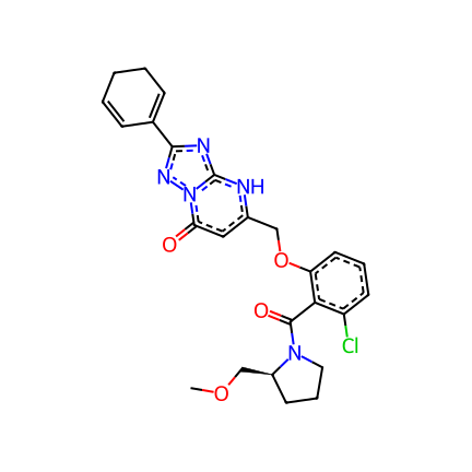 COC[C@@H]1CCCN1C(=O)c1c(Cl)cccc1OCc1cc(=O)n2nc(C3=CCCC=C3)nc2[nH]1